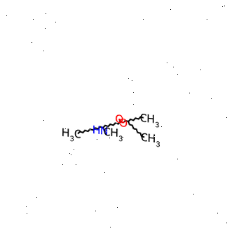 CCCCCCCCCCC(CCCCCCC(=O)OCC(CCCCCC)CCCCCCCC)NC